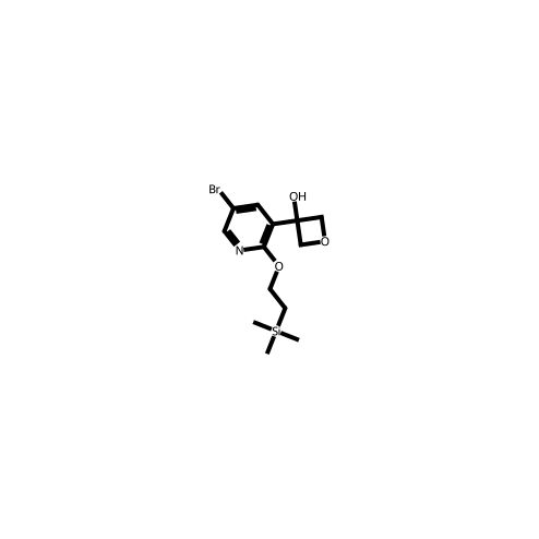 C[Si](C)(C)CCOc1ncc(Br)cc1C1(O)COC1